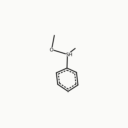 CO[SH](C)c1cc[c]cc1